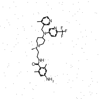 Cc1ccncc1CN(c1ccc(C(F)(F)F)nc1)C1CCN([C@H](C)CCNC(=O)c2c(C)cc(N)cc2C)CC1